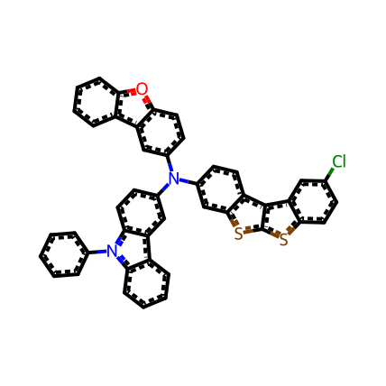 Clc1ccc2sc3sc4cc(N(c5ccc6oc7ccccc7c6c5)c5ccc6c(c5)c5ccccc5n6-c5ccccc5)ccc4c3c2c1